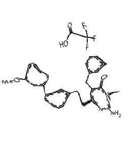 COc1cccc(-c2cccc(CCc3nc(N)n(C)c(=O)c3Cc3ccccc3)c2)c1.O=C(O)C(F)(F)F